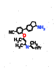 CCC/C=C(C)/N=C(C)\C=C(/C)Oc1cc(C#N)ccc1-c1ccc2c(c1)CCC2N